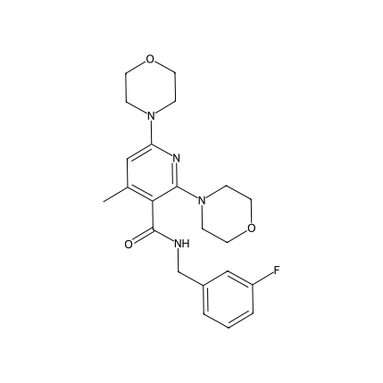 Cc1cc(N2CCOCC2)nc(N2CCOCC2)c1C(=O)NCc1cccc(F)c1